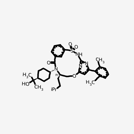 Cc1cccc(C)c1-c1cc2nc(n1)NS(=O)(=O)c1cccc(c1)C(=O)N([C@H]1CC[C@H](C(C)(C)O)CC1)[C@H](CCC(C)C)CO2